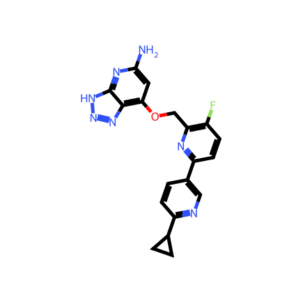 Nc1cc(OCc2nc(-c3ccc(C4CC4)nc3)ccc2F)c2nn[nH]c2n1